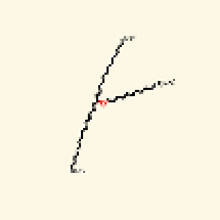 CCCCCCCCCCCCCCCCCCCCCCCCCC(CCCCCCCCCCCCCCCCCCCCCC)OCCCCCCCCCCCCCCCCCCCC